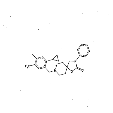 Cc1cc(C2CC2)c(CN2CCC3(CC2)CN(c2ccccc2)C(=O)O3)cc1C(F)(F)F